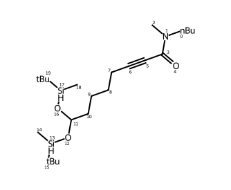 CCCCN(C)C(=O)C#CCCCCC(O[SiH](C)C(C)(C)C)O[SiH](C)C(C)(C)C